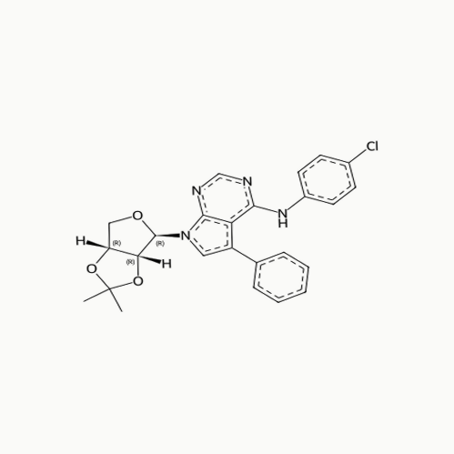 CC1(C)O[C@H]2[C@H](n3cc(-c4ccccc4)c4c(Nc5ccc(Cl)cc5)ncnc43)OC[C@H]2O1